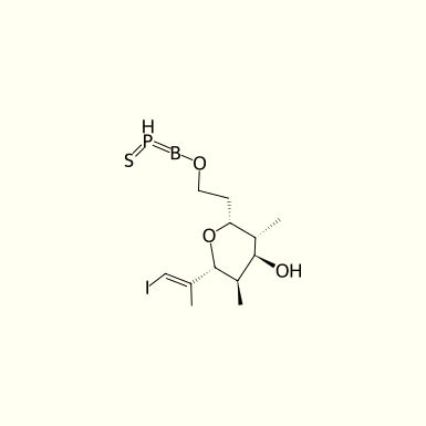 C/C(=C\I)[C@@H]1O[C@H](CCOB=[PH]=S)[C@H](C)[C@@H](O)[C@H]1C